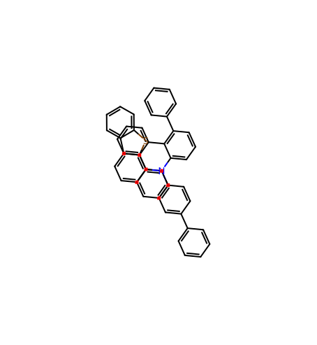 c1ccc(-c2ccc(N(c3cccc(-c4ccccc4)c3-c3ccccc3-c3ccccc3)c3cccc4c3sc3ccccc34)cc2)cc1